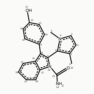 Cc1ccn(C)c1-c1c(-c2ccc(O)cc2)c2ccccc2n1C(N)=O